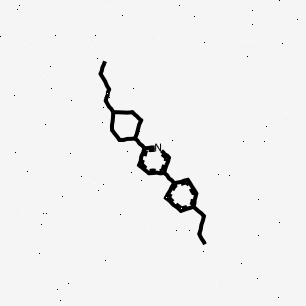 CCCCC1CCC(c2ccc(-c3ccc(CCC)cc3)cn2)CC1